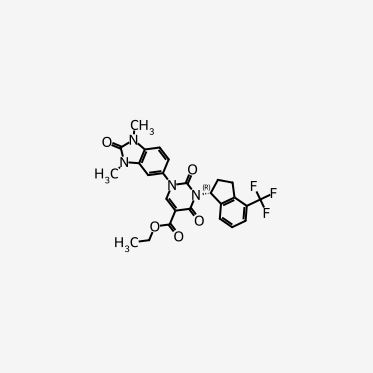 CCOC(=O)c1cn(-c2ccc3c(c2)n(C)c(=O)n3C)c(=O)n([C@@H]2CCc3c2cccc3C(F)(F)F)c1=O